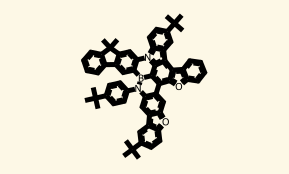 CC(C)(C)c1ccc(N2B3c4cc5c(cc4-n4c6ccc(C(C)(C)C)cc6c6c7c(oc8ccccc87)c(c3c64)-c3cc4oc6ccc(C(C)(C)C)cc6c4cc32)C(C)(C)c2ccccc2-5)cc1